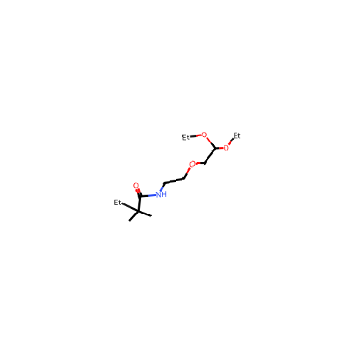 CCOC(COCCNC(=O)C(C)(C)CC)OCC